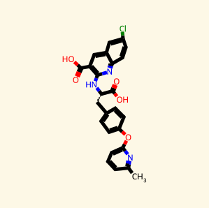 Cc1cccc(Oc2ccc(C[C@H](Nc3nc4ccc(Cl)cc4cc3C(=O)O)C(=O)O)cc2)n1